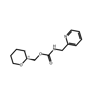 O=C(NCc1ccccn1)OC[C@@H]1[C]CCCO1